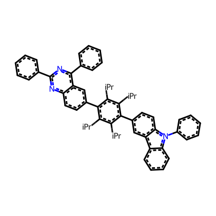 CC(C)c1c(-c2ccc3nc(-c4ccccc4)nc(-c4ccccc4)c3c2)c(C(C)C)c(C(C)C)c(-c2ccc3c(c2)c2ccccc2n3-c2ccccc2)c1C(C)C